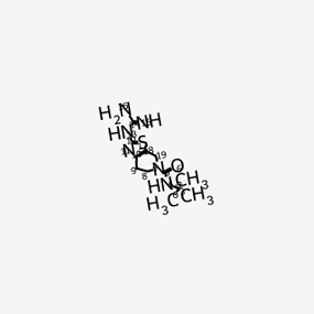 CC(C)(C)NC(=O)N1CCc2nc(NC(=N)N)sc2C1